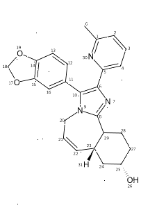 Cc1cccc(-c2nc3n(c2-c2ccc4c(c2)OCO4)CC=C[C@H]2C[C@@H](O)CCC32)n1